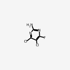 Nc1nc(F)c(Cl)c(Cl)n1